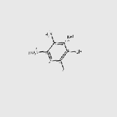 Cc1cc(S(=O)(=O)O)c(N)cc1Cl.[NaH]